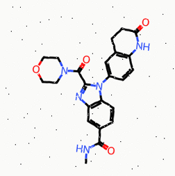 CNC(=O)c1ccc2c(c1)nc(C(=O)N1CCOCC1)n2-c1ccc2c(c1)CCC(=O)N2